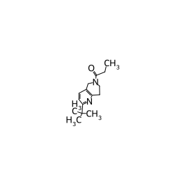 CCC(=O)N1CCc2nc(C(C)(C)C)ccc2C1